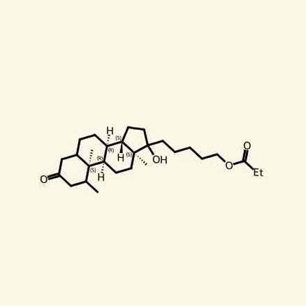 CCC(=O)OCCCCCC1(O)CC[C@H]2[C@@H]3CCC4CC(=O)CC(C)[C@]4(C)[C@@H]3CC[C@@]21C